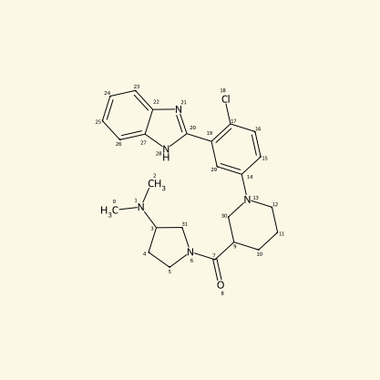 CN(C)C1CCN(C(=O)C2CCCN(c3ccc(Cl)c(-c4nc5ccccc5[nH]4)c3)C2)C1